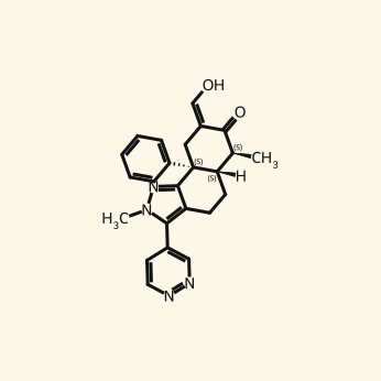 C[C@@H]1C(=O)C(=CO)C[C@]2(c3ccccc3)c3nn(C)c(-c4ccnnc4)c3CC[C@@H]12